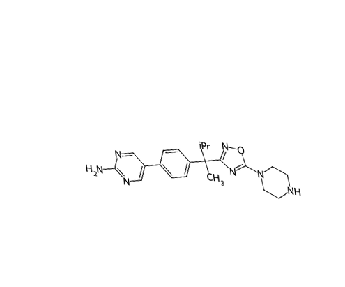 CC(C)C(C)(c1ccc(-c2cnc(N)nc2)cc1)c1noc(N2CCNCC2)n1